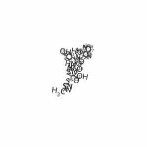 Cc1nnc(SCC2=C(C(=O)O)N3C(=O)C(NC(=O)C(NC(=O)c4cnc5cccnc5c4O)c4ccc(CO)cc4)[C@@H]3SC2)s1